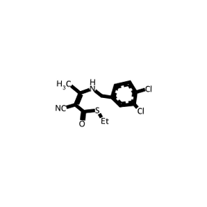 CCSC(=O)C(C#N)=C(C)NCc1ccc(Cl)c(Cl)c1